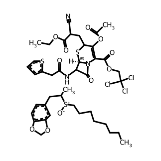 CCCCCCCC[S+]([O-])C(C)Cc1ccc2c(c1)OCO2.CCOC(=O)C(C#N)CC1S[C@@H]2C(NC(=O)Cc3cccs3)C(=O)N2C(C(=O)OCC(Cl)(Cl)Cl)=C1OC(C)=O